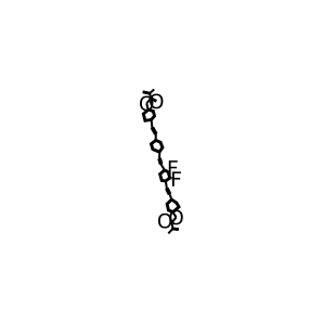 C=C(C)C(=O)Oc1ccc(C#Cc2ccc(C#Cc3ccc(C#Cc4ccc(OC(=O)C(=C)C)cc4)c(F)c3F)cc2)cc1